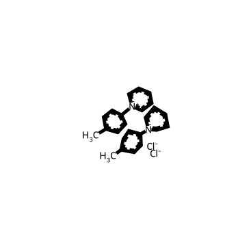 Cc1ccc(-[n+]2ccccc2)cc1.Cc1ccc(-[n+]2ccccc2)cc1.[Cl-].[Cl-]